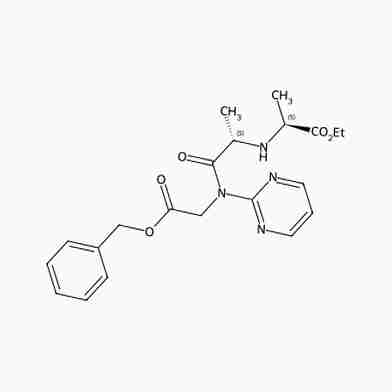 CCOC(=O)[C@H](C)N[C@@H](C)C(=O)N(CC(=O)OCc1ccccc1)c1ncccn1